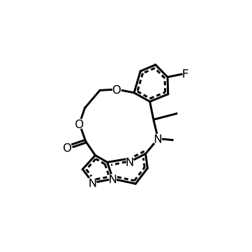 CC1c2cc(F)ccc2OCCOC(=O)c2cnn3ccc(nc23)N1C